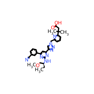 CC[C@@H](COC)Nc1nc(-c2cccc(C#N)c2)cc(-c2cn(Cc3cccc(C(C)(C)CC(=O)O)n3)nn2)n1